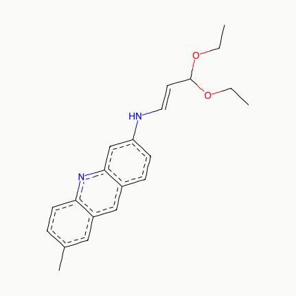 CCOC(C=CNc1ccc2cc3cc(C)ccc3nc2c1)OCC